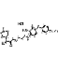 CCN(C(=O)COCCCNc1cnn(Cc2ccc(OC)cc2)c(=O)c1C(F)(F)F)C1CCNCC1.Cl